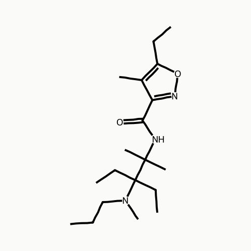 CCCN(C)C(CC)(CC)C(C)(C)NC(=O)c1noc(CC)c1C